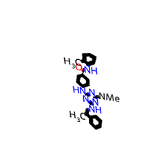 CNc1nc(NC[C@H](C)c2ccccc2)nc(N[C@H]2CC[C@H](C(=O)Nc3ccccc3C)CC2)n1